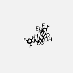 CC[C@H]1C(F)C(F)CN2C(=O)c3c(O)c(=O)c(C(=O)NCc4c(F)cc(F)cc4F)cn3C[C@@H]12